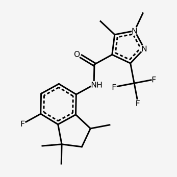 Cc1c(C(=O)Nc2ccc(F)c3c2C(C)CC3(C)C)c(C(F)(F)F)nn1C